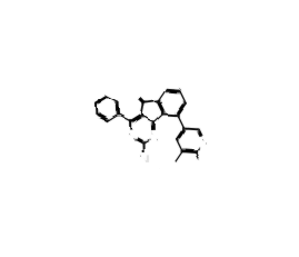 Cc1cc(-c2cccc3c2-c2nc(N)nc(-c4ccccc4)c2C3=O)cnc1F